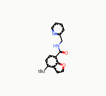 CC(C)(C)c1ccc(C(=O)NCc2ccccn2)c2occc12